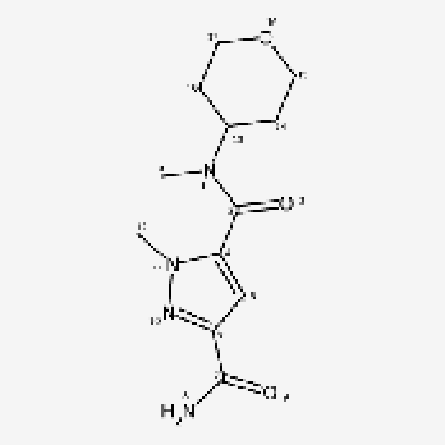 CN(C(=O)c1[c]c(C(N)=O)nn1C)C1CCOCC1